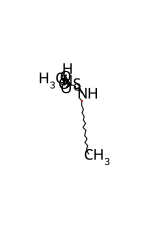 CCCCCCCCCCCCCCCCNc1csc(C(=O)NS(C)(=O)=O)c1